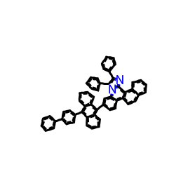 c1ccc(-c2ccc(-c3c4ccccc4c(-c4ccc5c6ccc7ccccc7c6c6nc(-c7ccccc7)c(-c7ccccc7)n6c5c4)c4ccccc34)cc2)cc1